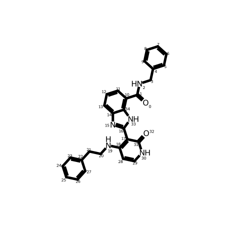 O=C(NCc1ccccc1)c1cccc2nc(-c3c(NCCc4ccccc4)cc[nH]c3=O)[nH]c12